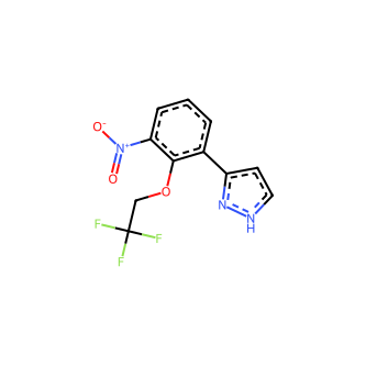 O=[N+]([O-])c1cccc(-c2cc[nH]n2)c1OCC(F)(F)F